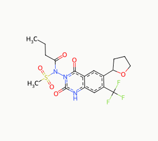 CCCC(=O)N(n1c(=O)[nH]c2cc(C(F)(F)F)c(C3CCCO3)cc2c1=O)S(C)(=O)=O